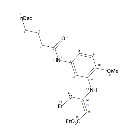 CCCCCCCCCCCCCC(=O)Nc1ccc(OC)c(N/C(=C/C(=O)OCC)OCC)c1